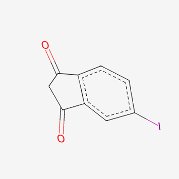 O=C1CC(=O)c2cc(I)ccc21